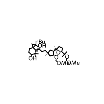 CCCCC1(C)CC12CCC(O)C(C)(C)[C@@H]2[C@@H](O)CC[C@]1(C)CC(OCOC)C([C@@]2(C)CCC(C(C)(C)OCOC)O2)C1